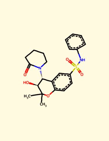 CC1(C)Oc2ccc(S(=O)(=O)Nc3ccccc3)cc2[C@@H](N2CCCCC2=O)[C@@H]1O